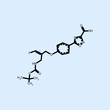 CC(C)(C)OC(=O)NC/C(=C\F)COc1ccc(-c2nc(C(=O)O)no2)cc1